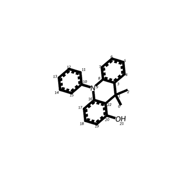 CC1(C)c2ccccc2N(c2ccccc2)c2cccc(O)c21